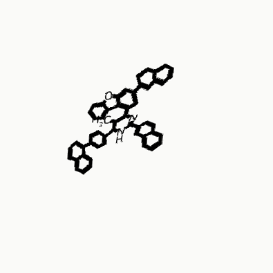 CC1=C(c2cc(-c3ccc4ccccc4c3)cc3oc4ccccc4c23)N=C(c2ccc3ccccc3c2)NC1c1ccc(-c2cccc3ccccc23)cc1